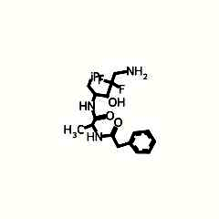 CC(C)CC(NC(=O)C(C)NC(=O)Cc1ccccc1)C(O)C(F)(F)CN